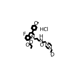 CCC(=O)Oc1ccc(F)c2c1N(CCCNC(=O)CN1CCN(CCOC)CC1)C=C(c1ccc(OC)cc1)C2.Cl